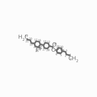 C=CCCc1ccc(OC(=O)C2CCC(C3CCC(CCC=C)CC3(F)F)CC2)cc1